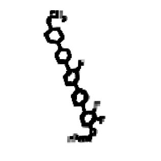 C=CC1CCC(C2CC=C(c3ccc(-c4ccc(-c5ccc(OCCCCC)c(F)c5F)cc4)cc3F)CC2)CC1